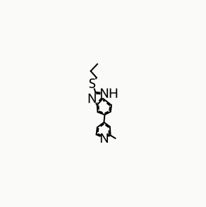 CCCSc1nc2cc(-c3ccnc(C)c3)ccc2[nH]1